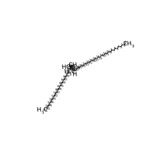 CCCCCCCCCCCCCCCCCCCCCCCCCCCCCC[SiH](C)O[Si](C)(O)CCCCCCCCCCCCCCCCCCCCCCCCCC